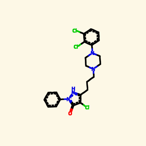 O=c1c(Cl)c(CCCN2CCN(c3cccc(Cl)c3Cl)CC2)[nH]n1-c1ccccc1